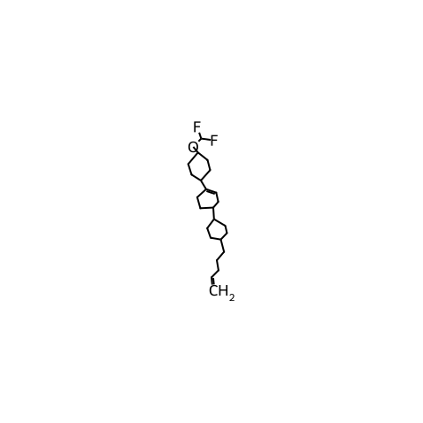 C=CCCCC1CCC(C2CC=C(C3CCC(OC(F)F)CC3)CC2)CC1